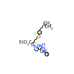 CCOC(=O)c1nc(N2CCCc3c2nnc(Nc2nc4ccccc4s2)c3C)sc1CCCOc1ccc(CCCN(C)C)cc1F